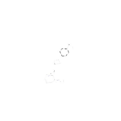 N[C@H]1CCCN[C@H]1CO[C@H]1C[C@@H](c2ccc(C(F)(F)F)cc2)C1